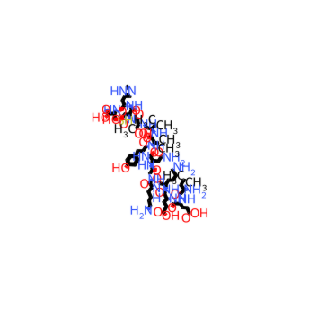 CC(C)CC(N)C(=O)NC(CCC(=O)O)C(=O)NC(CCC(=O)O)C(=O)NC(CCCCN)C(=O)NC(CCCCN)C(=O)NCC(=O)NC(CC(N)=O)C(=O)NC(Cc1ccc(O)cc1)C(=O)NC(C(=O)NC(C(=O)NC(C(=O)NC(CC(=O)O)C(=O)NC(Cc1cnc[nH]1)C(=O)NC(CS)C(=O)O)C(C)O)C(C)C)C(C)C